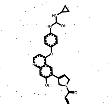 C=CC(=O)N1CC=C(c2cc3c(Oc4ccc(NC(O)NC5CC5)cc4)ccnc3cc2O)C1